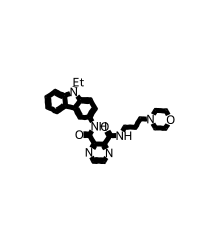 CCn1c2ccccc2c2cc(NC(=O)c3nccnc3C(=O)NCCCN3CCOCC3)ccc21